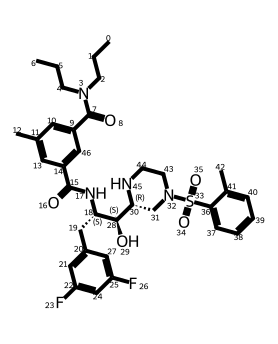 CCCN(CCC)C(=O)c1cc(C)cc(C(=O)N[C@@H](Cc2cc(F)cc(F)c2)[C@H](O)[C@H]2CN(S(=O)(=O)c3ccccc3C)CCN2)c1